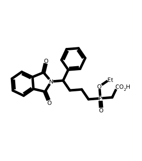 CCOP(=O)(CCCC(c1ccccc1)N1C(=O)c2ccccc2C1=O)CC(=O)O